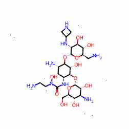 NCCN(O)C(=O)N[C@@H]1C[C@H](N)C(O[C@H]2O[C@H](CN)[C@@H](O)[C@H](O)[C@H]2NC2CNC2)[C@H](O)[C@H]1O[C@H]1O[C@H](CO)[C@@H](O)[C@H](N)[C@H]1O